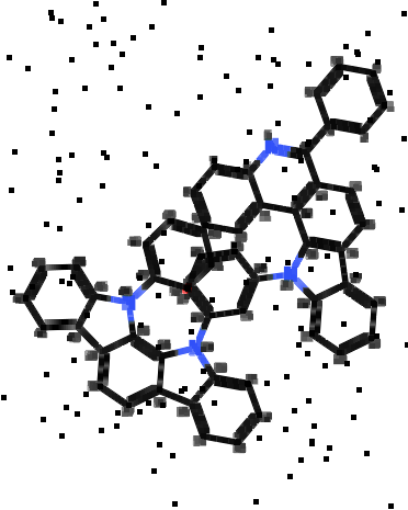 c1ccc(-c2nc3ccccc3c3c2ccc2c4ccccc4n(-c4cccc(-n5c6ccccc6c6ccc7c8ccccc8n(-c8ccccc8)c7c65)c4)c23)cc1